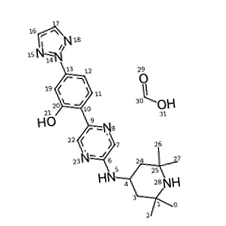 CC1(C)CC(Nc2cnc(-c3ccc(-n4nccn4)cc3O)cn2)CC(C)(C)N1.O=CO